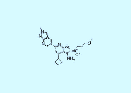 COCCC[S@+]([O-])c1sc2nc(-c3cnc4nn(C)cc4c3)cc(C3CCC3)c2c1N